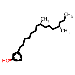 CCC[C@H](C)CCC[C@H](C)CCCCCCCc1cccc(O)c1